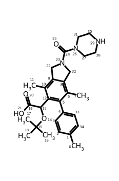 Cc1ccc(-c2c(C)c3c(c(C)c2C(OC(C)(C)C)C(=O)O)CN(C(=O)N2CCNCC2)C3)cc1